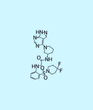 O=C(CNc1ccccc1S(=O)(=O)N1CCC(F)(F)CC1)N[C@@H]1CCCN(c2ncnc3[nH]ncc23)C1